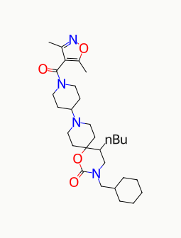 CCCCC1CN(CC2CCCCC2)C(=O)OC12CCN(C1CCN(C(=O)c3c(C)noc3C)CC1)CC2